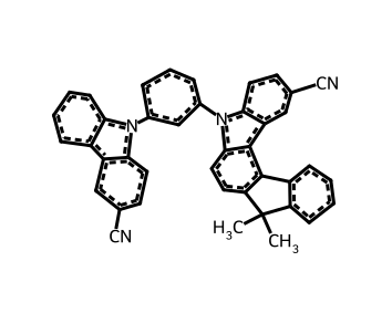 CC1(C)c2ccccc2-c2c1ccc1c2c2cc(C#N)ccc2n1-c1cccc(-n2c3ccccc3c3cc(C#N)ccc32)c1